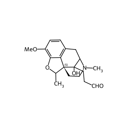 COc1ccc2c3c1OC(C)[C@]31CCN(C)C(C2)C1(O)CCC=O